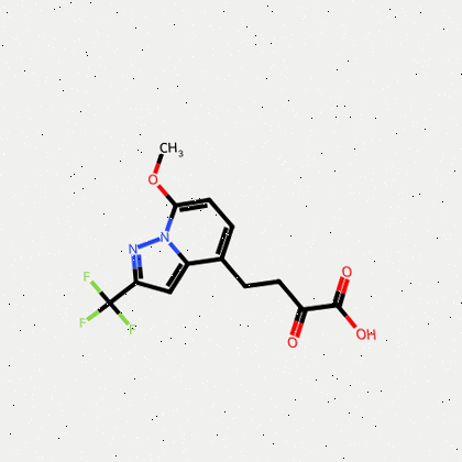 COc1ccc(CCC(=O)C(=O)O)c2cc(C(F)(F)F)nn12